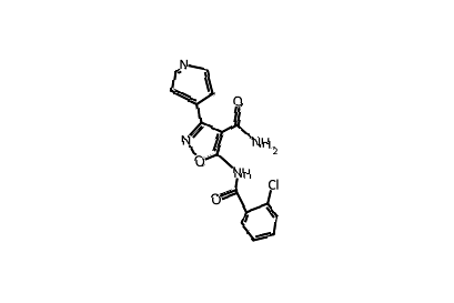 NC(=O)c1c(-c2ccncc2)noc1NC(=O)c1ccccc1Cl